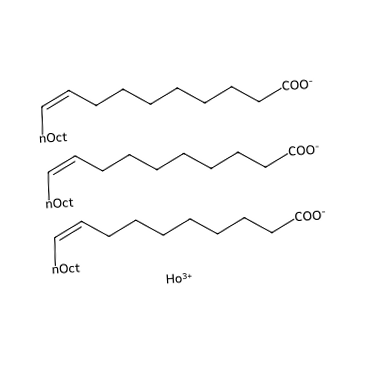 CCCCCCCC/C=C\CCCCCCCC(=O)[O-].CCCCCCCC/C=C\CCCCCCCC(=O)[O-].CCCCCCCC/C=C\CCCCCCCC(=O)[O-].[Ho+3]